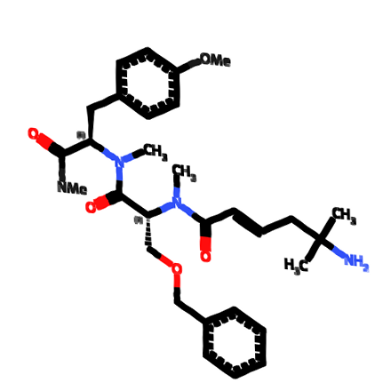 CNC(=O)[C@@H](Cc1ccc(OC)cc1)N(C)C(=O)[C@@H](COCc1ccccc1)N(C)C(=O)C=CCC(C)(C)N